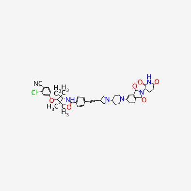 CC1(C)[C@H](NC(=O)c2ccc(C#CC3CN(C4CCN(c5ccc6c(c5)C(=O)N(C5CCC(=O)NC5=O)C6=O)CC4)C3)cc2)C(C)(C)[C@H]1Oc1ccc(C#N)c(Cl)c1